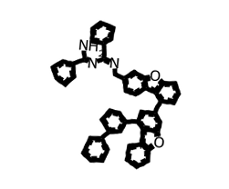 N/C(=N\C(=N/Cc1ccc2c(c1)oc1cccc(-c3cc(-c4cccc(-c5ccccc5)c4)c4c(c3)oc3ccccc34)c12)c1ccccc1)c1ccccc1